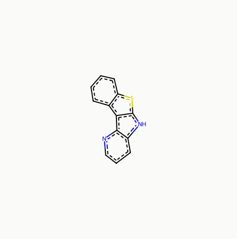 c1cnc2c(c1)[nH]c1sc3ccccc3c12